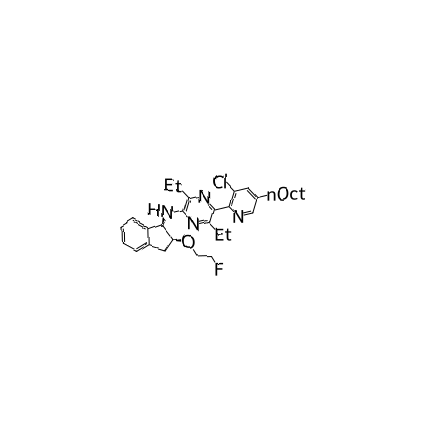 CCCCCCCCc1cnc(-c2nc(CC)c(N[C@@H]3c4ccccc4C[C@@H]3OCCF)nc2CC)c(Cl)c1